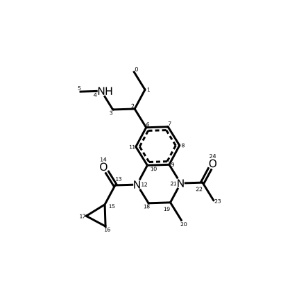 CCC(CNC)c1ccc2c(c1)N(C(=O)C1CC1)CC(C)N2C(C)=O